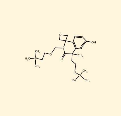 CC1(CCO[Si](C)(C)C(C)(C)C)C(=O)N(COCC[Si](C)(C)C)C2(COC2)c2ccc(O)nc21